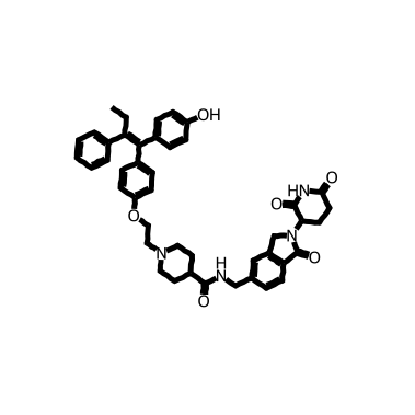 CC/C(=C(\c1ccc(O)cc1)c1ccc(OCCN2CCC(C(=O)NCc3ccc4c(c3)CN(C3CCC(=O)NC3=O)C4=O)CC2)cc1)c1ccccc1